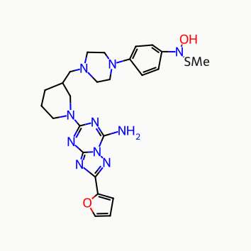 CSN(O)c1ccc(N2CCN(CC3CCCN(c4nc(N)n5nc(-c6ccco6)nc5n4)C3)CC2)cc1